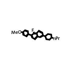 CCCC1CCC(c2ccc3c(F)c(-c4ccc(OC)cc4)ccc3c2)CC1